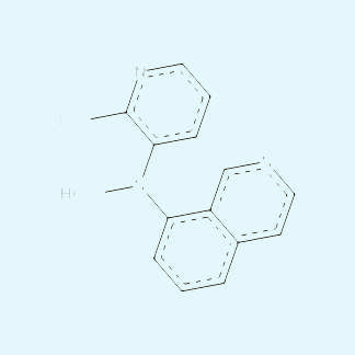 Cc1ncccc1N(C(=O)O)c1cccc2ccncc12